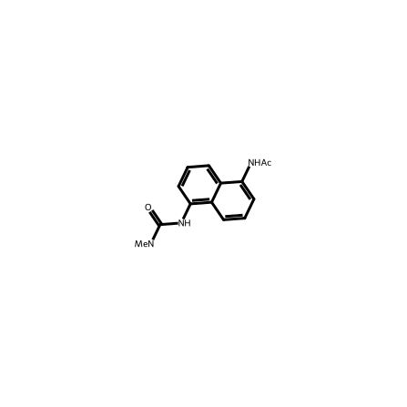 CNC(=O)Nc1cccc2c(NC(C)=O)cccc12